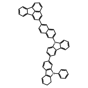 C1=Cc2c(n(-c3ccccc3)c3cc(-c4ccc5c(c4)c4ccccc4n5-c4ccc5cc(-c6cc7c8c(cccc8c6)-c6ccccc6-7)ccc5c4)ccc23)CC1